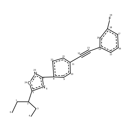 CCC(CC)c1nc(-c2ccc(C#Cc3cccc(F)c3)cc2)no1